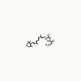 CC(C=CC1=C(C)CCCC1(C)C)=CC=CC(C)=CCOC(=O)[C@H](C)NC(=O)[C@H](C)N